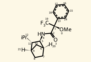 CO[C@](C(=O)N[C@H]1[C@H]2CC[C@H](C2)[C@@H]1C(C)C)(c1ccccc1)C(F)(F)F